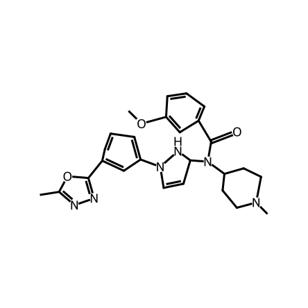 COc1cccc(C(=O)N(C2CCN(C)CC2)C2C=CN(c3cccc(-c4nnc(C)o4)c3)N2)c1